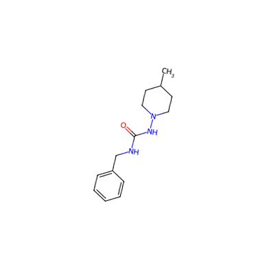 CC1CCN(NC(=O)NCc2ccccc2)CC1